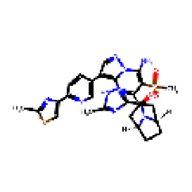 Cc1nc(C(=O)N2[C@@H]3CC[C@H]2C[C@@H](c2nc4c(-c5ccc(-c6csc(C)n6)nc5)cnn4c(N)c2S(C)(=O)=O)C3)n[nH]1